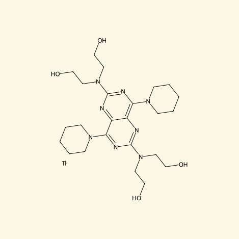 OCCN(CCO)c1nc(N2CCCCC2)c2nc(N(CCO)CCO)nc(N3CCCCC3)c2n1.[Tl]